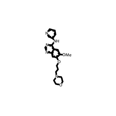 COc1cc2c(Nc3cccnc3)ncnc2cc1OCCCN1CCOCC1